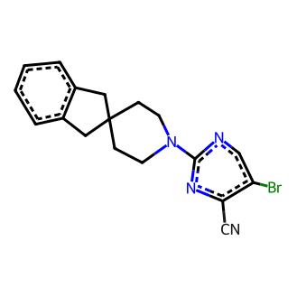 N#Cc1nc(N2CCC3(CC2)Cc2ccccc2C3)ncc1Br